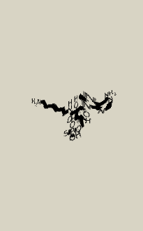 NCCCCCCNC(=O)[C@@]1(O)[C@@H]2OP(O)(=S)OC[C@H]2O[C@H]1n1cnc2c(N)ncnc21